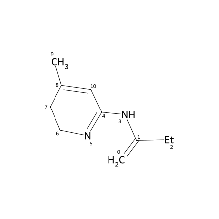 C=C(CC)NC1=NCCC(C)=C1